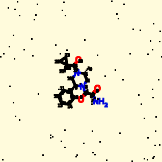 C[C@@H]1CN(C(=O)C(N)=O)[C@@H](c2ccccc2)CN1C(=O)C1(C)CC1